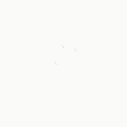 c1ccc2nc(-c3ncc[nH]3)ccc2c1